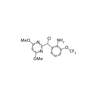 COc1cc(OC)nc(C(Cl)c2cccc(OC(F)(F)F)c2N)n1